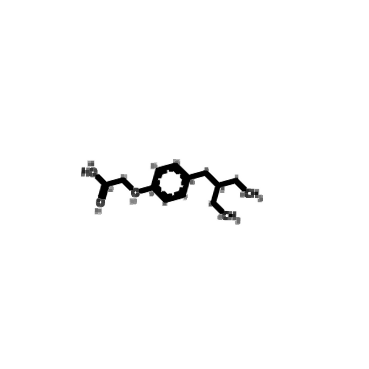 CCC(CC)Cc1ccc(OCC(=O)O)cc1